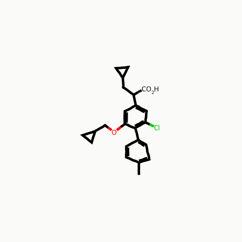 Cc1ccc(-c2c(Cl)cc(C(CC3CC3)C(=O)O)cc2OCC2CC2)cc1